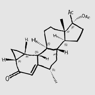 CC(=O)O[C@]1(C(C)=O)CC[C@H]2[C@@H]3C[C@H](C)C4=CC(=O)[C@@H]5C[C@@H]5[C@@H]4[C@H]3CC[C@@]21C